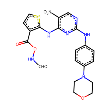 O=CNOC(=O)c1ccsc1Nc1nc(Nc2ccc(N3CCOCC3)cc2)ncc1[N+](=O)[O-]